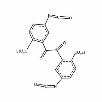 CCOC(=O)c1ccc(N=C=O)cc1C(=O)C(=O)c1cc(N=C=O)ccc1C(=O)OCC